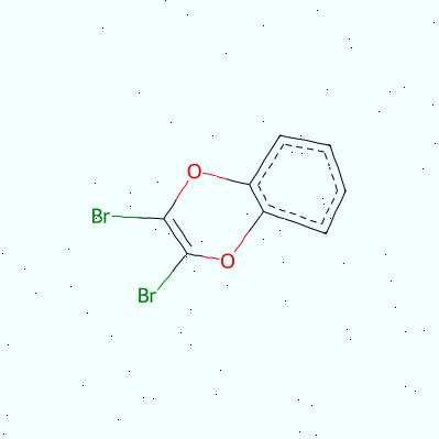 BrC1=C(Br)Oc2ccccc2O1